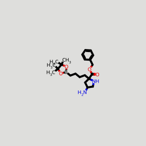 CC1(C)OB(CCCCC2(C(=O)OCc3ccccc3)CC(N)CN2)OC1(C)C